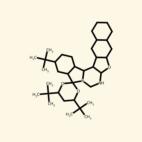 CC(C)(C)C1CCC2C3C4C(NCN3C3(OC(C(C)(C)C)CC(C(C)(C)C)O3)C2C1)OC1CC2CCCCC2CC14